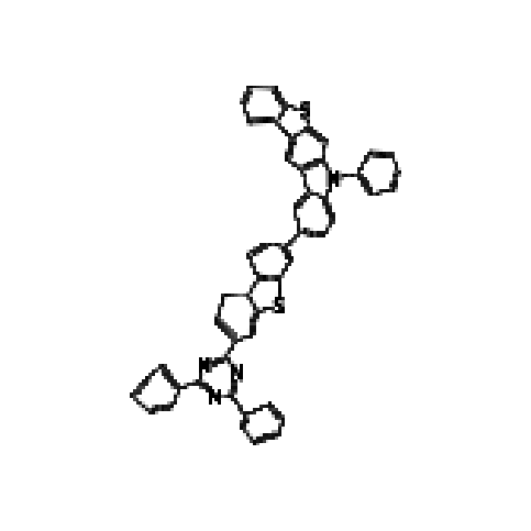 C1=C(c2nc(-c3ccccc3)nc(-c3ccccc3)n2)C=C2Sc3cc(-c4ccc5c(c4)c4cc6c(cc4n5-c4ccccc4)sc4ccccc46)ccc3C2C1